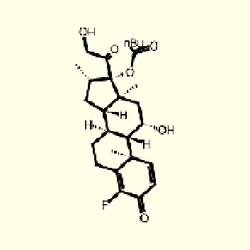 CCCCC(=O)O[C@@]1(C(=O)CO)[C@@H](C)C[C@H]2[C@@H]3CCC4=C(F)C(=O)C=C[C@]4(C)[C@H]3[C@@H](O)C[C@@]21C